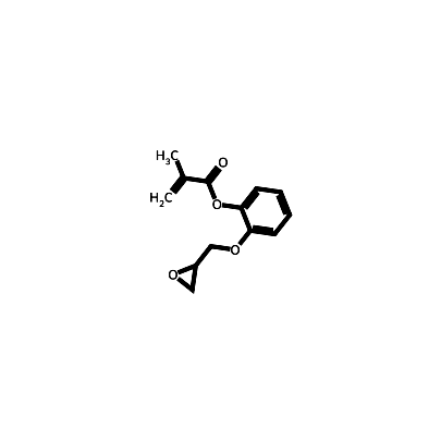 C=C(C)C(=O)Oc1ccccc1OCC1CO1